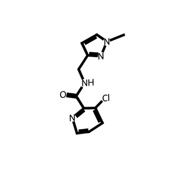 Cn1ccc(CNC(=O)c2ncccc2Cl)n1